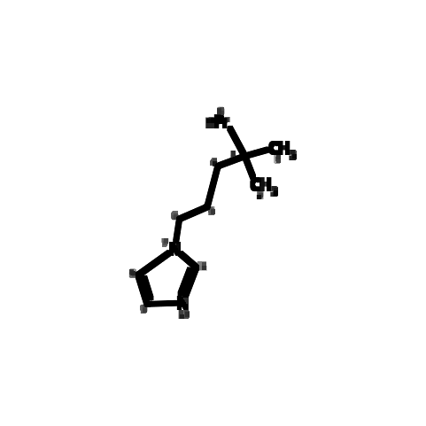 CCCC(C)(C)CCCn1ccnc1